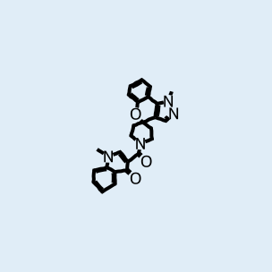 Cn1ncc2c1-c1ccccc1OC21CCN(C(=O)c2cn(C)c3ccccc3c2=O)CC1